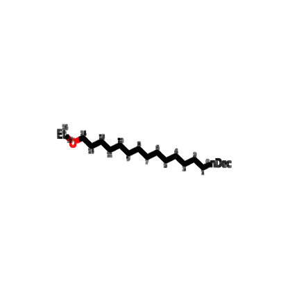 CCCCCCCCCCCCCCCCCCCCCCCCOCC